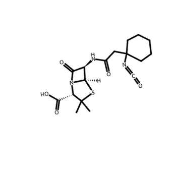 CC1(C)S[C@@H]2[C@H](NC(=O)CC3(N=C=O)CCCCC3)C(=O)N2[C@H]1C(=O)O